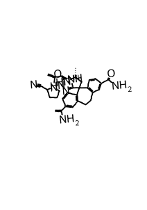 C=C(N)c1ccc2c(c1)CCc1cc(C(N)=O)ccc1C2(C[C@@H](C)NCC(=C)N1CCCC1C#N)c1n[nH]c(=O)[nH]1